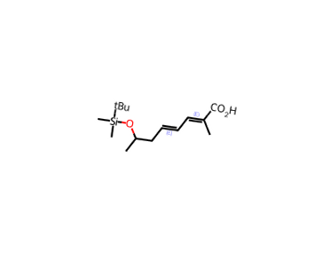 C/C(=C\C=C\CC(C)O[Si](C)(C)C(C)(C)C)C(=O)O